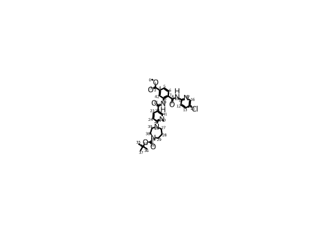 COC(=O)c1ccc(C(=O)Nc2ccc(Cl)cn2)c(NC(=O)c2ccc(N3CCCN(C(=O)OC(C)(C)C)CC3)nc2)c1